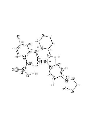 CC1=CN2NC(C3CCCCN3C(=O)c3cc(C)ccc3N3CCC[S+]3[O-])C=C2N=C1N1CCCC1